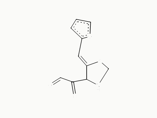 O=CC(=O)C1NCSC1=Cc1ccco1